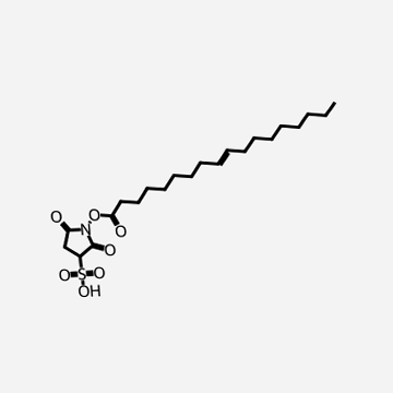 CCCCCCCCC=CCCCCCCCC(=O)ON1C(=O)CC(S(=O)(=O)O)C1=O